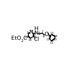 CCOC(=O)c1cnc(NCCCOc2ccccc2)c(Cl)c1